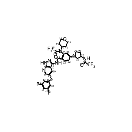 O=C(Nc1n[nH]c2ncc(Sc3cc(F)cc(F)c3)cc12)c1ccc(N2CCC(NC(=O)C(F)(F)F)C2)cc1N(C(=O)C(F)(F)F)C1CCOCC1